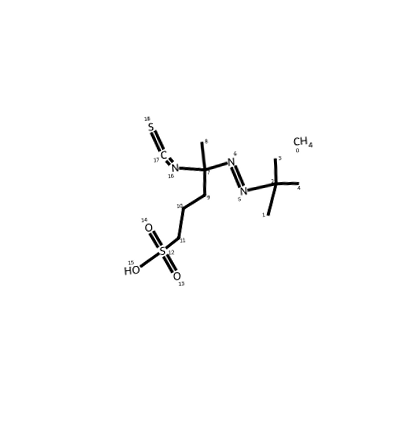 C.CC(C)(C)N=NC(C)(CCCS(=O)(=O)O)N=C=S